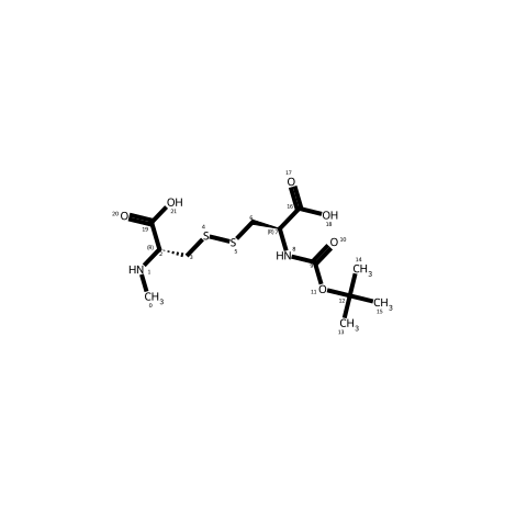 CN[C@@H](CSSC[C@H](NC(=O)OC(C)(C)C)C(=O)O)C(=O)O